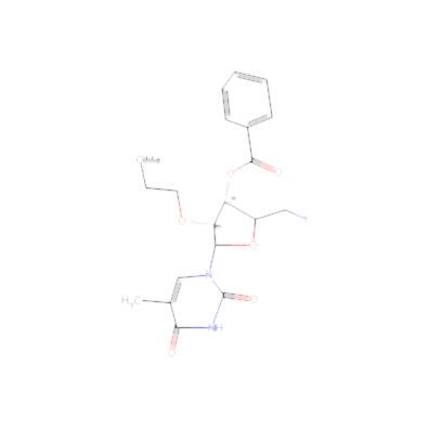 COCCO[C@H]1C(n2cc(C)c(=O)[nH]c2=O)OC(CI)[C@H]1OC(=O)c1ccccc1